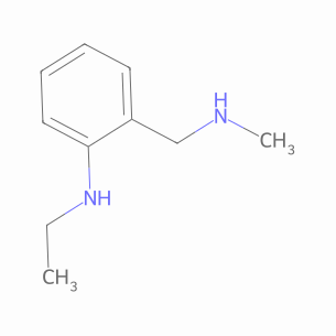 CCNc1ccccc1CNC